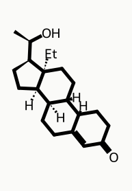 CC[C@]12CC[C@H]3[C@@H](CCC4=CC(=O)CC[C@@H]43)[C@H]1CC[C@H]2[C@@H](C)O